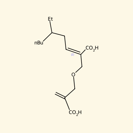 C=C(COC/C(=C/CC(CC)CCCC)C(=O)O)C(=O)O